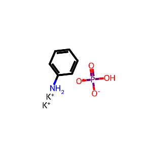 Nc1ccccc1.O=P([O-])([O-])O.[K+].[K+]